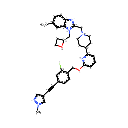 Cn1cc(C#Cc2ccc(COc3cccc(C4CCN(Cc5nc6ccc(C(=O)O)cc6n5C[C@@H]5CCO5)CC4)n3)c(F)c2)cn1